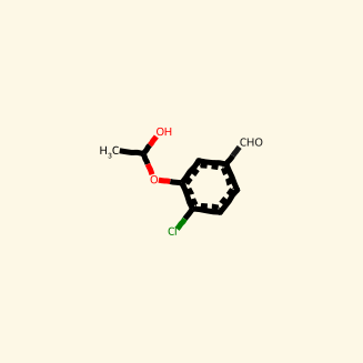 CC(O)Oc1cc(C=O)ccc1Cl